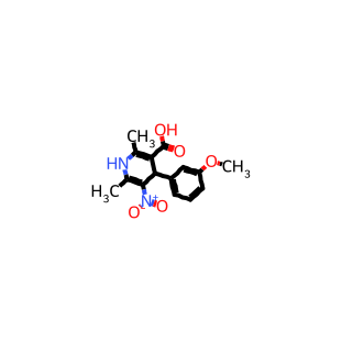 COc1cccc(C2C(C(=O)O)=C(C)NC(C)=C2[N+](=O)[O-])c1